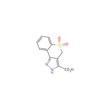 O=C(O)c1[nH]nc2c1CS(=O)(=O)c1ccccc1-2